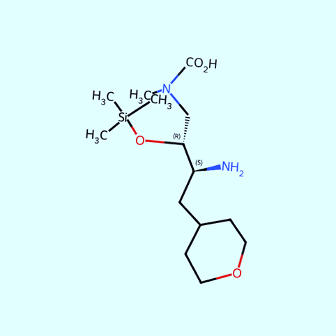 CN(C[C@@H](O[Si](C)(C)C)[C@@H](N)CC1CCOCC1)C(=O)O